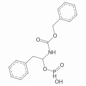 O=C(NC(Cc1ccccc1)O[PH](=O)O)OCc1ccccc1